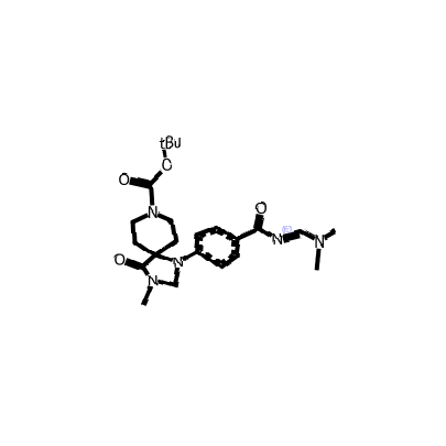 CN(C)/C=N/C(=O)c1ccc(N2CN(C)C(=O)C23CCN(C(=O)OC(C)(C)C)CC3)cc1